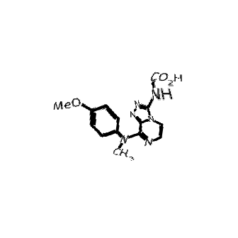 COc1ccc(N(C)c2nccn3c(NC(=O)O)nnc23)cc1